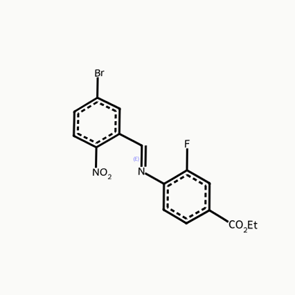 CCOC(=O)c1ccc(/N=C/c2cc(Br)ccc2[N+](=O)[O-])c(F)c1